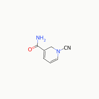 N#CN1C=CC=C(C(N)=O)C1